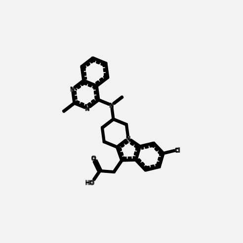 Cc1nc(N(C)C2CCc3c(CC(=O)O)c4ccc(Cl)cc4n3C2)c2ccccc2n1